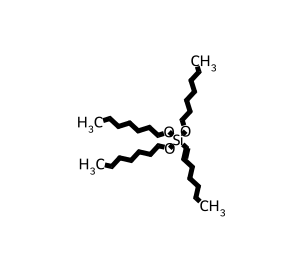 CCCCCC=C[Si](OCCCCCCC)(OCCCCCCC)OCCCCCCC